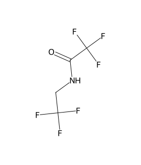 O=C(NCC(F)(F)F)C(F)(F)F